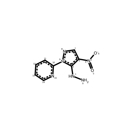 NNc1c([N+](=O)[O-])cnn1-c1ccccn1